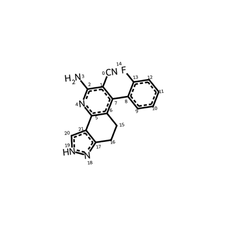 N#Cc1c(N)nc2c(c1-c1ccccc1F)CCc1n[nH]cc1-2